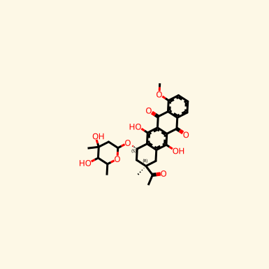 COc1cccc2c1C(=O)c1c(O)c3c(c(O)c1C2=O)C[C@@](C)(C(C)=O)C[C@@H]3OC1CC(C)(O)C(O)C(C)O1